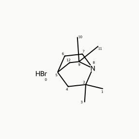 Br.CC1(C)CC2CCN1C(C)(C)C2